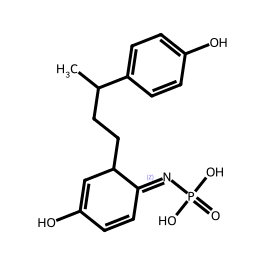 CC(CCC1C=C(O)C=C/C1=N\P(=O)(O)O)c1ccc(O)cc1